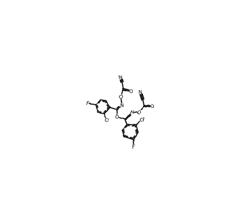 N#CC(=O)ON=C(OC(=NOC(=O)C#N)c1ccc(F)cc1Cl)c1ccc(F)cc1Cl